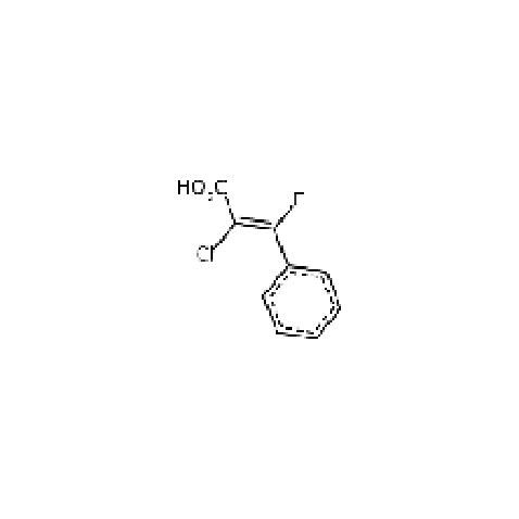 O=C(O)/C(Cl)=C(\F)c1ccccc1